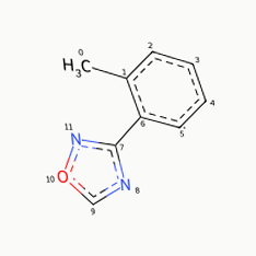 Cc1ccc[c]c1-c1ncon1